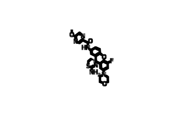 COc1cnc(C(=O)Nc2ccc3c(c2)[C@@]2(CCSC(N)=N2)c2cc(N4CCOCC4)cc(F)c2O3)cn1